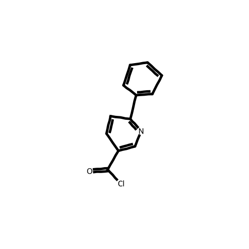 O=C(Cl)c1ccc(-c2ccccc2)nc1